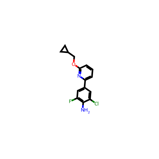 Nc1c(F)cc(-c2cccc(OCC3CC3)n2)cc1Cl